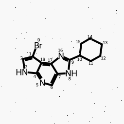 Brc1c[nH]c2ncc3[nH]c(C4CCCCC4)nc3c12